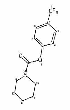 O=C(Oc1ccc(C(F)(F)F)cc1)N1CCCCC1